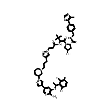 Cc1ncsc1-c1ccc(CNC(=O)[C@@H]2C[C@@H](O)CN2C(=O)C(NC(=O)CCn2cc(CCCN3CCCC(n4cc(-c5cnc(N)c(OC(C)c6c(Cl)ccc(F)c6Cl)c5)cn4)C3)nn2)C(C)(C)C)cc1